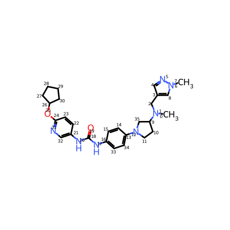 CN(Cc1cnn(C)c1)C1CCN(c2ccc(NC(=O)Nc3ccc(OC4CCCC4)nc3)cc2)C1